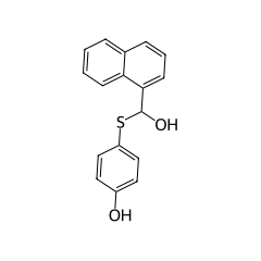 Oc1ccc(SC(O)c2cccc3ccccc23)cc1